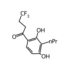 CCCc1c(O)ccc(C(=O)CCC(F)(F)F)c1O